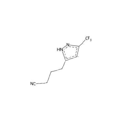 N#CCCCc1[c]c(C(F)(F)F)n[nH]1